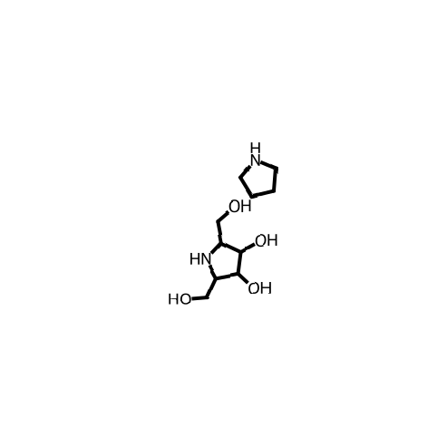 C1CCNC1.OCC1NC(CO)C(O)C1O